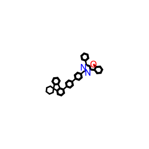 c1ccc(-c2nc(-c3ccc(-c4ccc(-c5cccc6c5-c5ccccc5C65CCCCC5)cc4)cc3)nc3c2oc2ccccc23)cc1